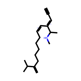 C#C/C=C(\C=C/CCCCCC(=C)C(C)C)C(C)NC